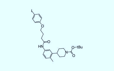 Cc1ccc(NC(=O)CCCOc2ccc(I)cc2)cc1C1CCN(C(=O)OC(C)(C)C)CC1